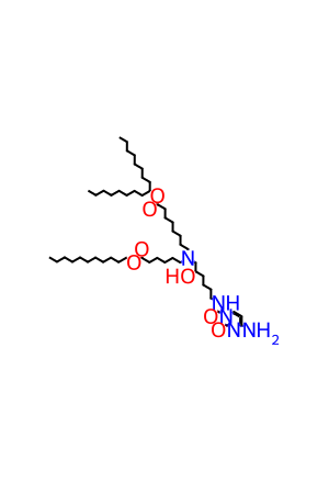 CCCCCCCCCCCOC(=O)CCCCCN(CCCCCCCC(=O)OC(CCCCCCCC)CCCCCCCC)CC(O)CCCCNC(=O)n1ccc(N)nc1=O